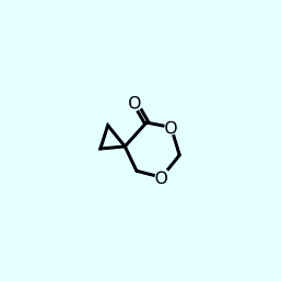 O=C1OCOCC12CC2